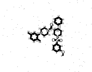 COc1cccc(S(=O)(=O)N2CC[C@@H](c3ccccc3)[C@@H](C(=O)N3CCN(c4cc(C)ccc4C)CC3)C2)c1